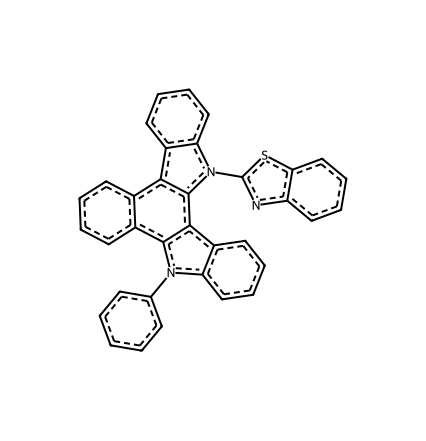 c1ccc(-n2c3ccccc3c3c2c2ccccc2c2c4ccccc4n(-c4nc5ccccc5s4)c23)cc1